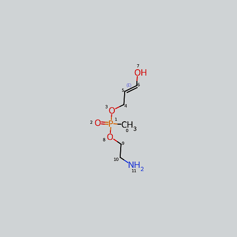 CP(=O)(OC/C=C/O)OCCN